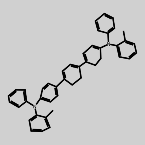 Cc1ccccc1N(C1=CC=C(C2=CC=C(c3ccc(N(c4ccccc4)c4ccccc4C)cc3)CC2)CC1)c1ccccc1